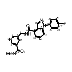 CNC(=O)c1cncc(CNC(=O)c2cccc3c2cnn3-c2ccc(F)cc2)c1